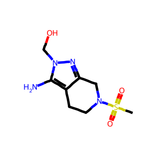 CS(=O)(=O)N1CCc2c(nn(CO)c2N)C1